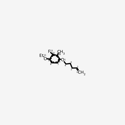 C=CCCCOc1ccc(OCC)c(F)c1C